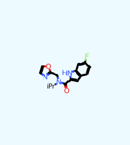 CC(C)N(Cc1ncco1)C(=O)c1cc2ccc(F)cc2[nH]1